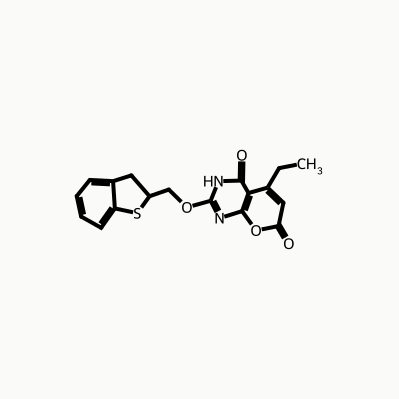 CCc1cc(=O)oc2nc(OCC3Cc4ccccc4S3)[nH]c(=O)c12